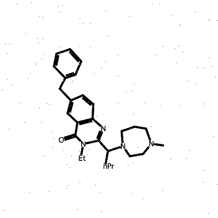 CCCC(c1nc2ccc(Cc3ccccc3)cc2c(=O)n1CC)N1CCCN(C)CC1